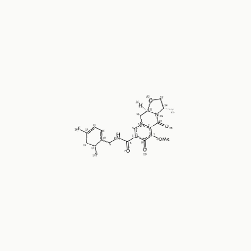 COc1c2n(cc(C(=O)NCC3=CC=C(F)CC3F)c1=O)C[C@H]1OC[C@H](C)N1C2=O